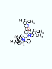 C=CC1N=C(/C=C\C(CC)[Si](C)(C)C)c2ccccc2C1C1c2ccc3c(oc4nc(C(C)C)ccc43)c2-c2cc(C(C)C(C)C)cc[n+]21